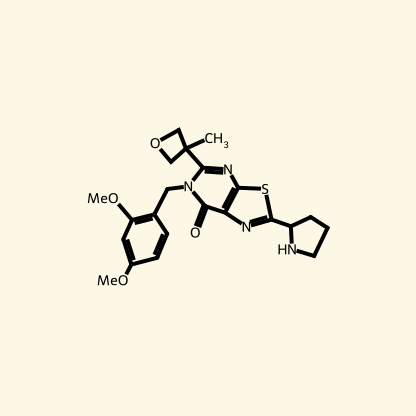 COc1ccc(Cn2c(C3(C)COC3)nc3sc(C4CCCN4)nc3c2=O)c(OC)c1